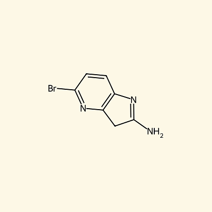 NC1=Nc2ccc(Br)nc2C1